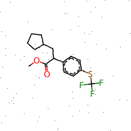 COC(=O)C(CC1CCCC1)c1ccc(SC(F)(F)F)cc1